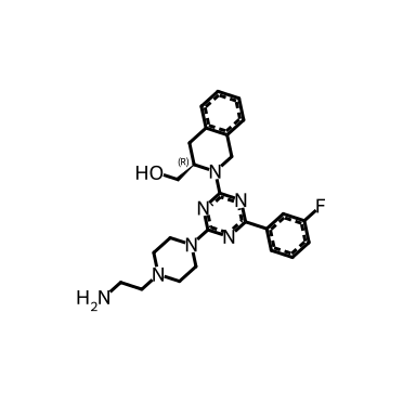 NCCN1CCN(c2nc(-c3cccc(F)c3)nc(N3Cc4ccccc4C[C@@H]3CO)n2)CC1